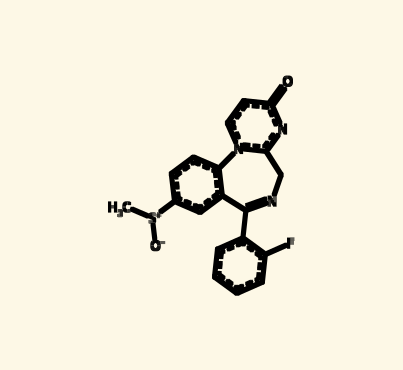 C[S+]([O-])c1ccc2c(c1)C(c1ccccc1F)=NCc1nc(=O)ccn1-2